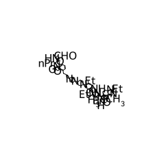 CCCC(C(=O)NC=O)n1c(=O)oc2c(CCCN3CCN(C4CCN(c5cc(OCC)c(Nc6ncc(Br)c(Nc7ccc8nc(CC)ncc8c7P(C)(C)=O)n6)cc5CC)CC4)CC3)cccc21